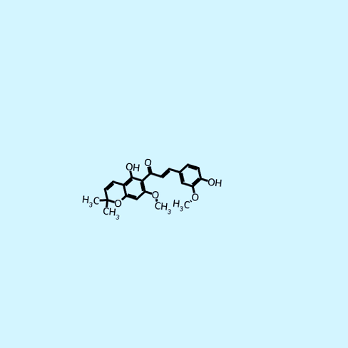 COc1cc(/C=C/C(=O)c2c(OC)cc3c(c2O)C=CC(C)(C)O3)ccc1O